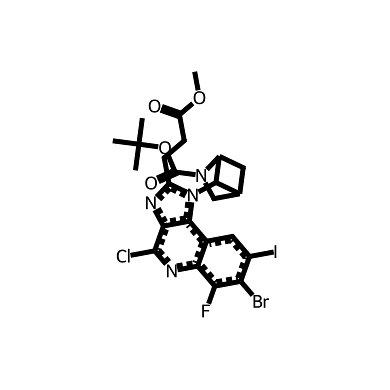 COC(=O)CCc1nc2c(Cl)nc3c(F)c(Br)c(I)cc3c2n1C1C2CC1N(C(=O)OC(C)(C)C)C2